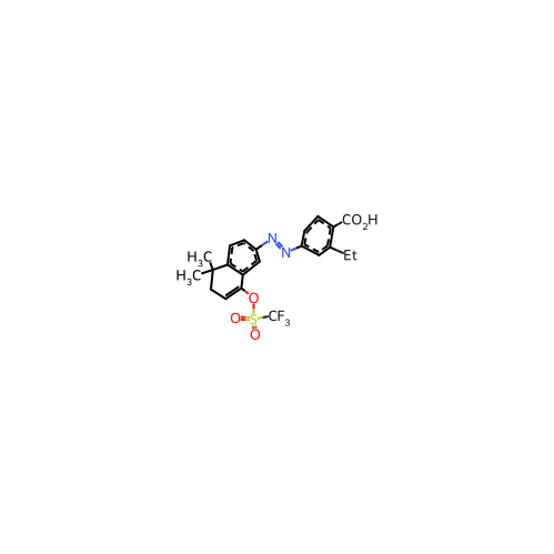 CCc1cc(N=Nc2ccc3c(c2)C(OS(=O)(=O)C(F)(F)F)=CCC3(C)C)ccc1C(=O)O